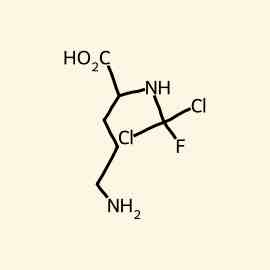 NCCCC(NC(F)(Cl)Cl)C(=O)O